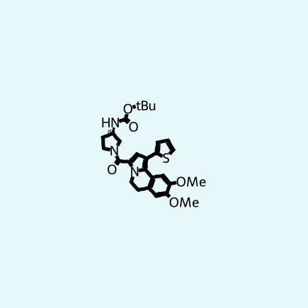 COc1cc2c(cc1OC)-c1c(-c3cccs3)cc(C(=O)N3CC[C@@H](NC(=O)OC(C)(C)C)C3)n1CC2